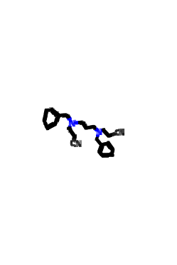 N#CCCN(CCCN(CCC#N)Cc1ccccc1)Cc1ccccc1